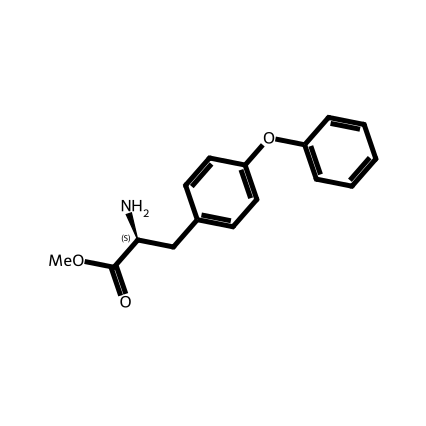 COC(=O)[C@@H](N)Cc1ccc(Oc2ccccc2)cc1